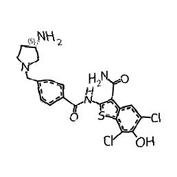 NC(=O)c1c(NC(=O)c2ccc(CN3CC[C@H](N)C3)cc2)sc2c(Cl)c(O)c(Cl)cc12